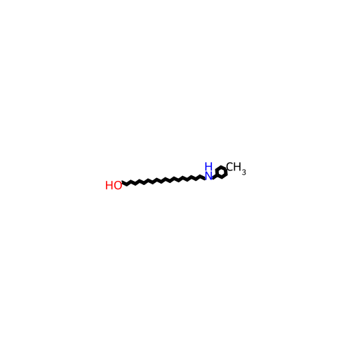 CC1CCC(CNCCCCCCCCCCCCCCCCCCCCO)CC1